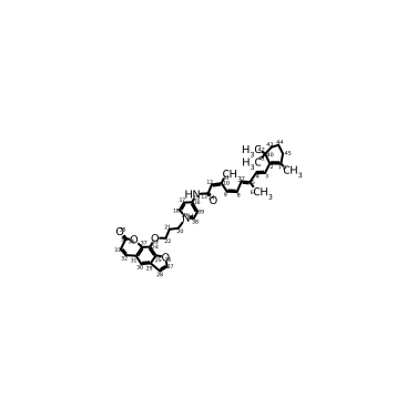 CC1=C(/C=C/C(C)=C/C=C\C(C)=C/C(=O)Nc2cc[n+](CCCOc3c4occc4cc4ccc(=O)oc34)cc2)C(C)(C)CCC1